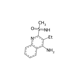 CCc1c(S(C)(=N)=O)nc2ccccc2c1N